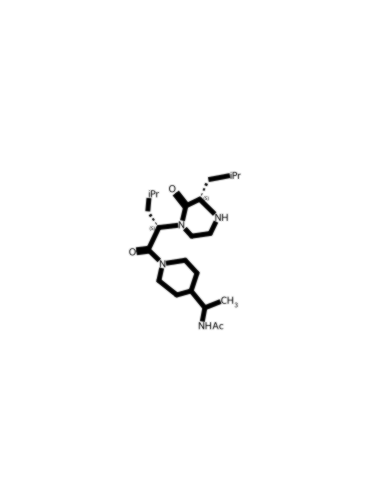 CC(=O)NC(C)C1CCN(C(=O)[C@H](CC(C)C)N2CCN[C@@H](CC(C)C)C2=O)CC1